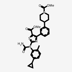 COC(=O)c1sc(N(C(N)=O)c2cc(C3CC3)ccc2C)nc1-c1cccc(C2CCN(C(=O)OC)CC2)c1